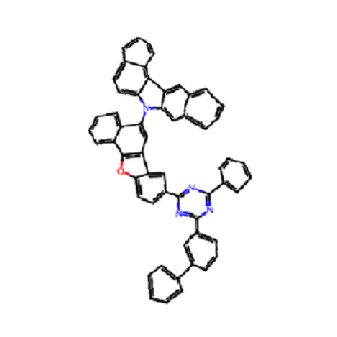 c1ccc(-c2cccc(-c3nc(-c4ccccc4)nc(-c4ccc5oc6c7ccccc7c(-n7c8cc9ccccc9cc8c8c9ccccc9ccc87)cc6c5c4)n3)c2)cc1